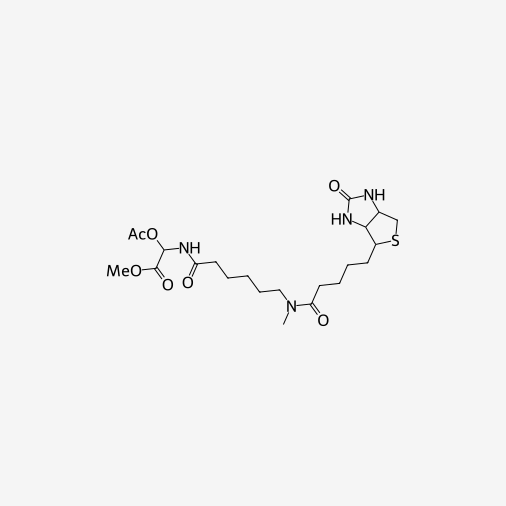 COC(=O)C(NC(=O)CCCCCN(C)C(=O)CCCCC1SCC2NC(=O)NC21)OC(C)=O